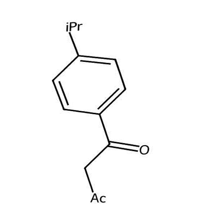 CC(=O)CC(=O)c1ccc(C(C)C)cc1